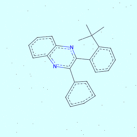 CC(C)(C)c1ccccc1-c1nc2ccccc2nc1-c1ccccc1